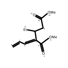 C=CC=C(C(=O)OC)C(CC)CC(=O)OC